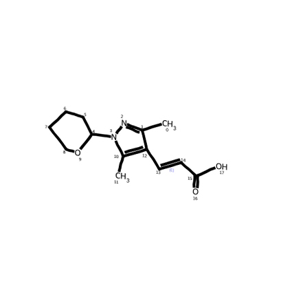 Cc1nn(C2CCCCO2)c(C)c1/C=C/C(=O)O